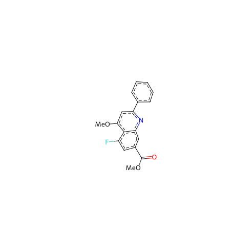 COC(=O)c1cc(F)c2c(OC)cc(-c3ccccc3)nc2c1